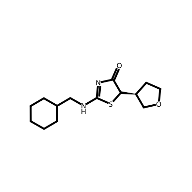 O=C1N=C(NCC2CCCCC2)SC1[C@H]1CCOC1